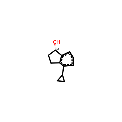 O[C@H]1CCc2c(C3CC3)cccc21